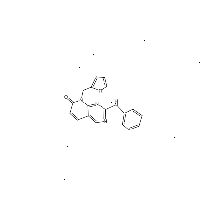 O=c1ccc2cnc(Nc3ccccc3)nc2n1Cc1ccco1